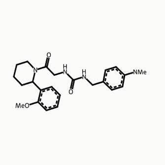 CNc1ccc(CNC(=O)NCC(=O)N2CCCCC2c2ccccc2OC)cc1